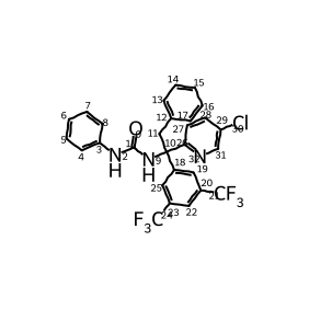 O=C(Nc1ccccc1)NC(Cc1ccccc1)(c1cc(C(F)(F)F)cc(C(F)(F)F)c1)c1ccc(Cl)cn1